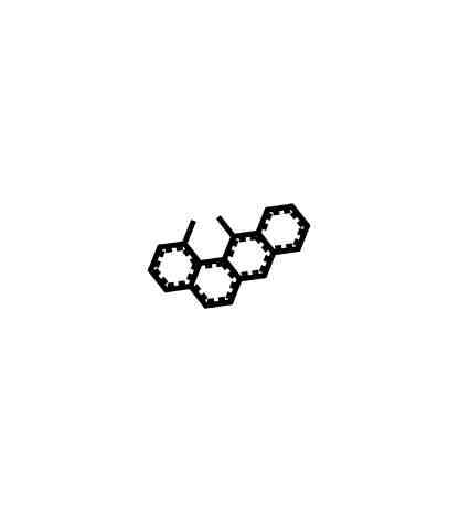 Cc1cccc2ccc3cc4ccccc4c(C)c3c12